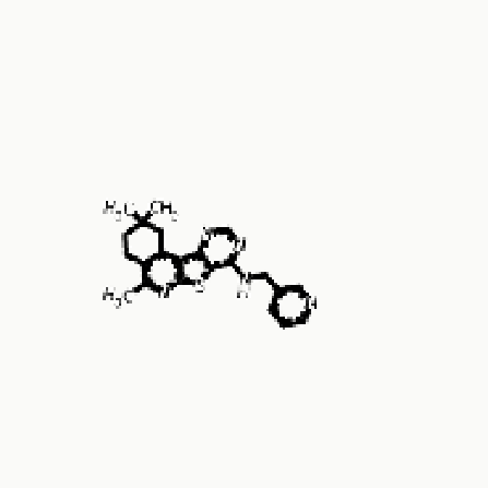 Cc1nc2sc3c(NCc4cccnc4)ncnc3c2c2c1CCC(C)(C)C2